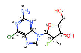 C[C@@]1(F)C(O)C(CO)OC1n1cnc2c(Cl)nc(N)nc21